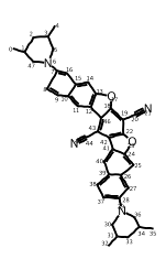 CC1CC(C)CN(c2ccc3cc4c(cc3c2)oc2c(C#N)c3oc5cc6cc(N7CC(C)CC(C)C7)ccc6cc5c3c(C#N)c24)C1